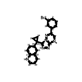 Brc1cccc(-c2cnc3nnc(C4(c5ccc6ncccc6c5)CC4)n3n2)c1